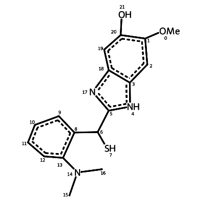 COc1cc2[nH]c(C(S)c3ccccc3N(C)C)nc2cc1O